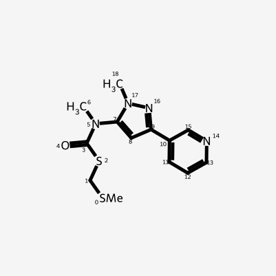 CSCSC(=O)N(C)c1cc(-c2cccnc2)nn1C